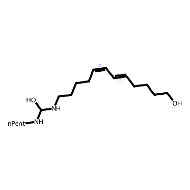 CCCCCNC(O)NCCCC/C=C\C=C\CCCCO